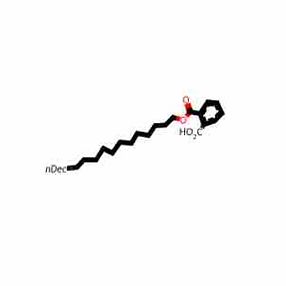 CCCCCCCCCCCCCCCCCCCCCCOC(=O)c1ccccc1C(=O)O